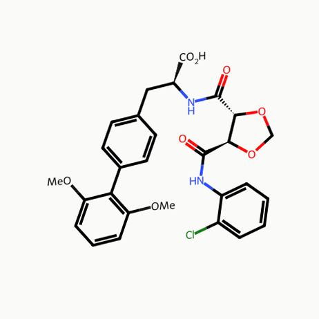 COc1cccc(OC)c1-c1ccc(C[C@H](NC(=O)[C@@H]2OCO[C@H]2C(=O)Nc2ccccc2Cl)C(=O)O)cc1